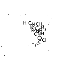 COc1ccc(NC(=O)Nc2cnn3cc(C)nc3c2C(C)C)cc1Cl